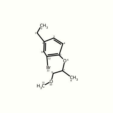 CCc1ccc(OC(C)COC)c(Br)c1